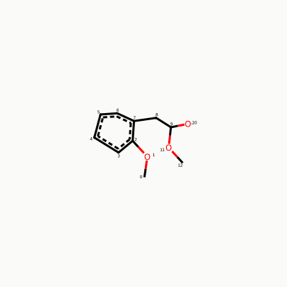 COc1ccccc1CC([O])OC